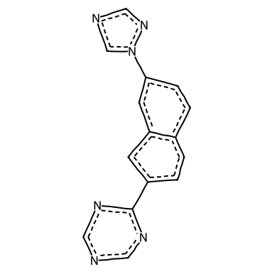 c1ncnc(-c2ccc3ccc(-n4cncn4)cc3c2)n1